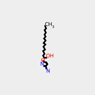 CCCCCCCCCCCCCCCCC(CO)Oc1ccc(C#N)cn1